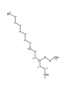 CC(C)CCCCCCCOCC[C](CCO)CCO